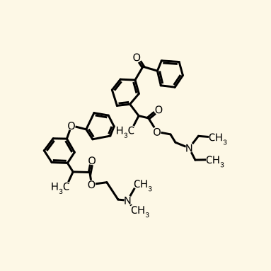 CC(C(=O)OCCN(C)C)c1cccc(Oc2ccccc2)c1.CCN(CC)CCOC(=O)C(C)c1cccc(C(=O)c2ccccc2)c1